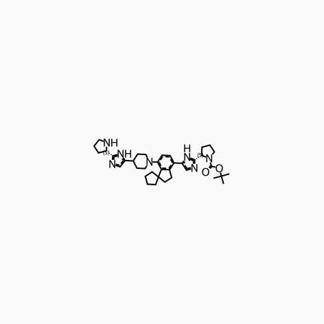 CC(C)(C)OC(=O)N1CCC[C@H]1c1ncc(-c2ccc(N3CCC(c4cnc([C@@H]5CCCN5)[nH]4)CC3)c3c2CCC32CCCC2)[nH]1